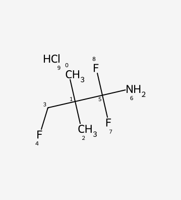 CC(C)(CF)C(N)(F)F.Cl